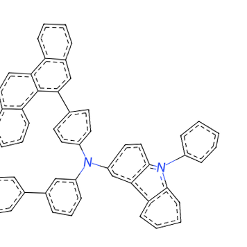 c1ccc(-c2cccc(N(c3ccc(-c4cc5ccccc5c5ccc6ccccc6c45)cc3)c3ccc4c(c3)c3ccccc3n4-c3ccccc3)c2)cc1